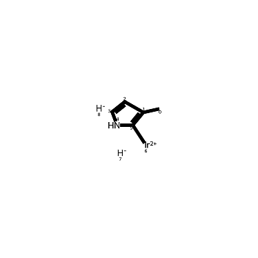 Cc1cc[nH][c]1[Ir+2].[H-].[H-]